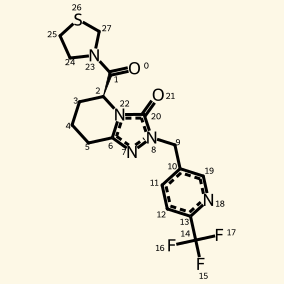 O=C([C@@H]1CCCc2nn(Cc3ccc(C(F)(F)F)nc3)c(=O)n21)N1CCSC1